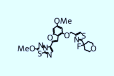 COc1cc(OCc2csc(C3(F)CCOCC3)n2)c2cc(-c3cnc4sc(OC)nn34)oc2c1